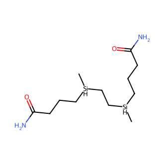 C[SiH](CCCC(N)=O)CC[SiH](C)CCCC(N)=O